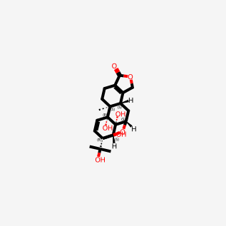 CC(C)(O)[C@]12C=C[C@]3(O)[C@@](O)([C@H](C[C@H]4C5=C(CC[C@@]43C)C(=O)OC5)O1)[C@@H]2O